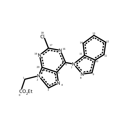 CCOC(=O)Cn1cnc2c(-n3ncc4ccccc43)nc(Cl)nc21